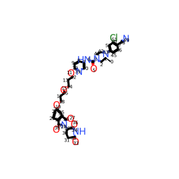 C[C@H]1CN(C(=O)Nc2ccc(OCCCOCCCOc3ccc4c(c3)C(=O)N(C3CCC(=O)NC3=O)C4=O)nc2)CCN1c1ccc(C#N)c(Cl)c1